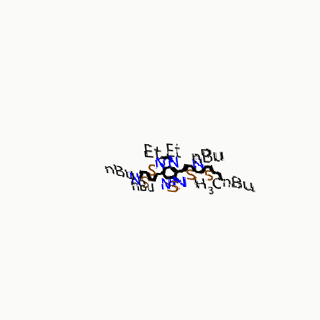 CCCCC(C)Cc1cc2c(s1)c1sc(-c3c4nsnc4c(-c4cc5sc(N(CCCC)CCCC)cc5s4)c4nc(CC)c(CC)nc34)cc1n2CCCC